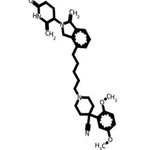 C=C1NC(=O)CCC1N1Cc2c(CCCCCN3CCC(C#N)(c4cc(OC)ccc4OC)CC3)cccc2C1=C